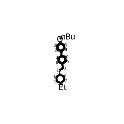 CCCCOc1ccc(-c2ccc(CC[C@H]3CC[C@H](CC)CC3)cc2)cc1